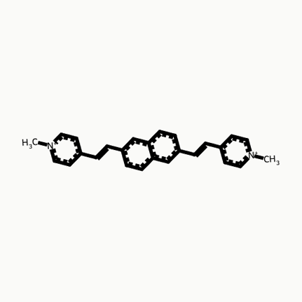 C[n+]1ccc(/C=C/c2ccc3cc(/C=C/c4cc[n+](C)cc4)ccc3c2)cc1